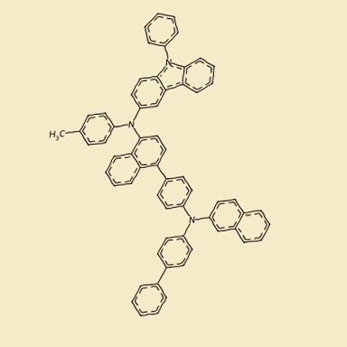 Cc1ccc(N(c2ccc3c(c2)c2ccccc2n3-c2ccccc2)c2ccc(-c3ccc(N(c4ccc(-c5ccccc5)cc4)c4ccc5ccccc5c4)cc3)c3ccccc23)cc1